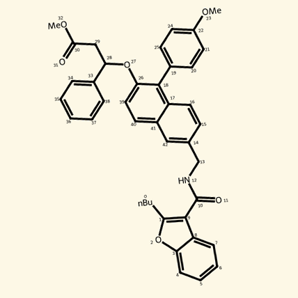 CCCCc1oc2ccccc2c1C(=O)NCc1ccc2c(-c3ccc(OC)cc3)c(OC(CC(=O)OC)c3ccccc3)ccc2c1